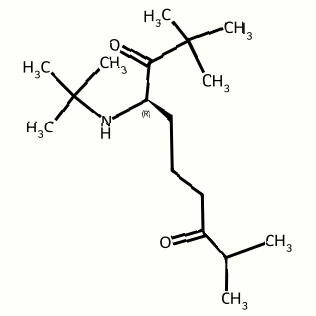 CC(C)C(=O)CCC[C@@H](NC(C)(C)C)C(=O)C(C)(C)C